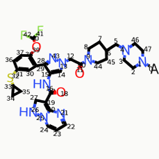 CC(=O)N1CCN(CC2CCN(C(=O)Cn3cc(NC(=O)C4=C5N=CC=CN5NC4)c(-c4cc(SC5CC5)ccc4OC(F)F)n3)CC2)CC1